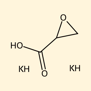 O=C(O)C1CO1.[KH].[KH]